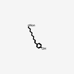 CCCCCCCCCCCCCCCCC=Cc1ccc(O)cc1